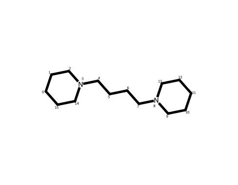 C1CCN(CCCCN2CCCCC2)CC1